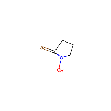 ON1CCCC1=S